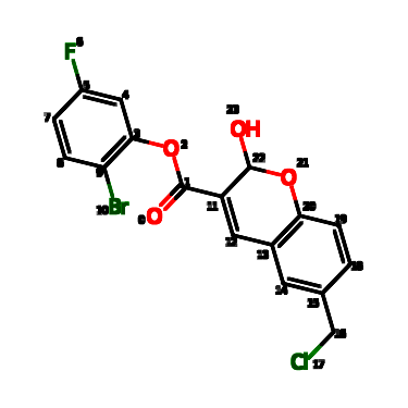 O=C(Oc1cc(F)ccc1Br)C1=Cc2cc(CCl)ccc2OC1O